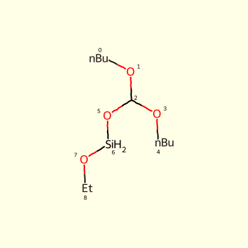 CCCCOC(OCCCC)O[SiH2]OCC